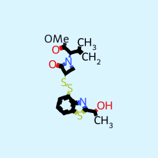 C=C(C)[C@H](C(=O)OC)N1C[C@H](SSc2cccc3sc(C(C)O)nc23)C1=O